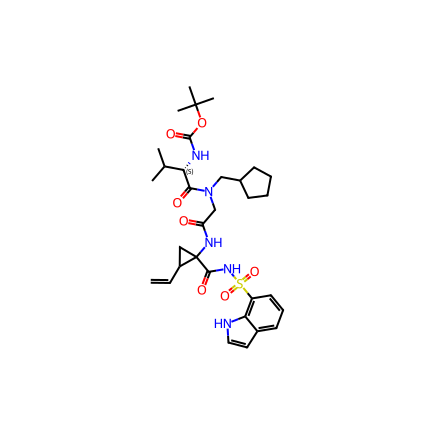 C=CC1CC1(NC(=O)CN(CC1CCCC1)C(=O)[C@@H](NC(=O)OC(C)(C)C)C(C)C)C(=O)NS(=O)(=O)c1cccc2cc[nH]c12